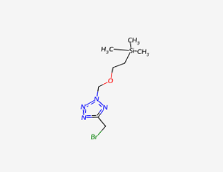 C[Si](C)(C)CCOCn1nnc(CBr)n1